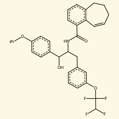 CC(C)Oc1ccc(C(O)C(Cc2cccc(OC(F)(F)C(F)F)c2)NC(=O)c2cccc3c2C=CCCC3)cc1